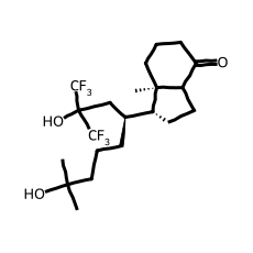 CC(C)(O)CCC[C@@H](CC(O)(C(F)(F)F)C(F)(F)F)[C@H]1CCC2C(=O)CCC[C@@]21C